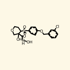 O=C(NO)C1(O)COCCC1S(=O)(=O)c1ccc(OCc2cccc(Cl)c2)cc1